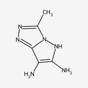 Cc1nnc2c(N)c(N)[nH]n12